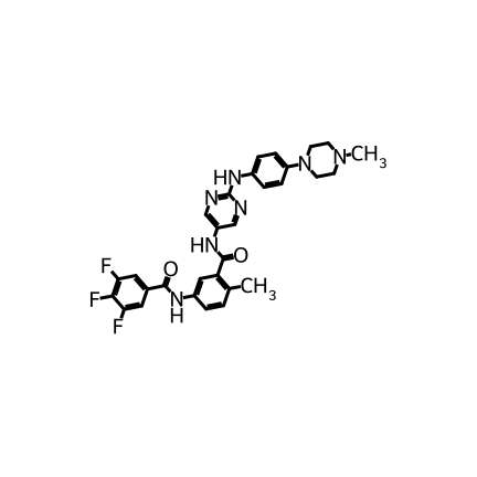 Cc1ccc(NC(=O)c2cc(F)c(F)c(F)c2)cc1C(=O)Nc1cnc(Nc2ccc(N3CCN(C)CC3)cc2)nc1